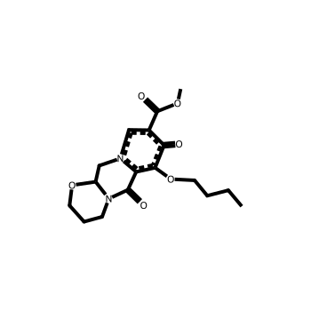 CCCCOc1c2n(cc(C(=O)OC)c1=O)CC1OCCCN1C2=O